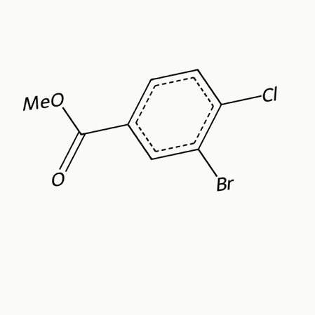 COC(=O)c1ccc(Cl)c(Br)c1